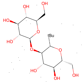 CC(C)(C)C1O[C@H](CO)[C@@H](O)[C@H](O)[C@H]1O[C@@H]1O[C@H](CO)[C@@H](O)[C@H](O)[C@H]1O